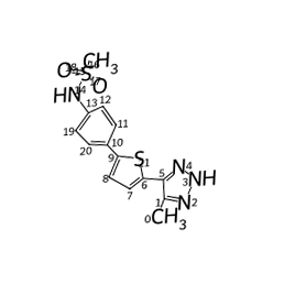 Cc1n[nH]nc1-c1ccc(-c2ccc(NS(C)(=O)=O)cc2)s1